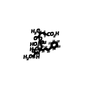 C=C(C=CC(=O)O)C(=O)OCCCC.C=CC(=O)NC(C)(CC=Cc1ccccc1)CS(=O)(=O)O